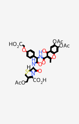 CC(=O)OCC1=C(C(=O)O)N2C(=O)[C@@H](NC(=O)C(NC(=O)c3c(C)oc4cc(OC(C)=O)c(OC(C)=O)cc4c3=O)c3ccc(OCC(=O)O)cc3)[C@@H]2SC1